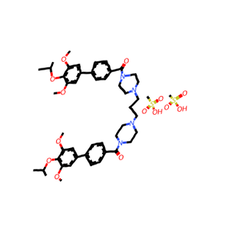 COc1cc(-c2ccc(C(=O)N3CCN(CCCN4CCN(C(=O)c5ccc(-c6cc(OC)c(OC(C)C)c(OC)c6)cc5)CC4)CC3)cc2)cc(OC)c1OC(C)C.CS(=O)(=O)O.CS(=O)(=O)O